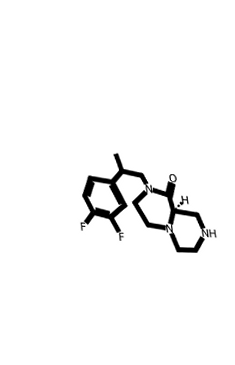 CC(CN1CCN2CCNC[C@@H]2C1=O)c1ccc(F)c(F)c1